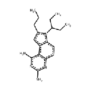 CCCc1cc2c3c(N)nc(N)nc3ccc2n1C(CC)CC